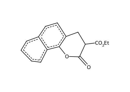 CCOC(=O)C1Cc2ccc3ccccc3c2OC1=O